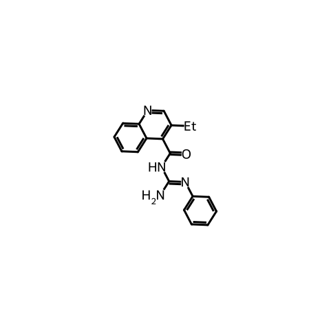 CCc1cnc2ccccc2c1C(=O)NC(N)=Nc1ccccc1